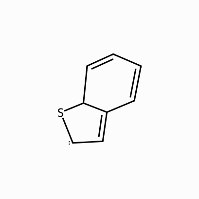 [C]1C=C2C=CC=CC2S1